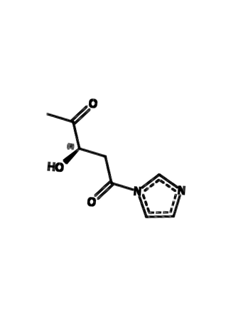 CC(=O)[C@H](O)CC(=O)n1ccnc1